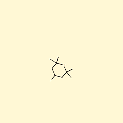 CC1(C)CC(F)CC(C)(C)N1